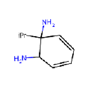 CC(C)C1(N)C=CC=CC1N